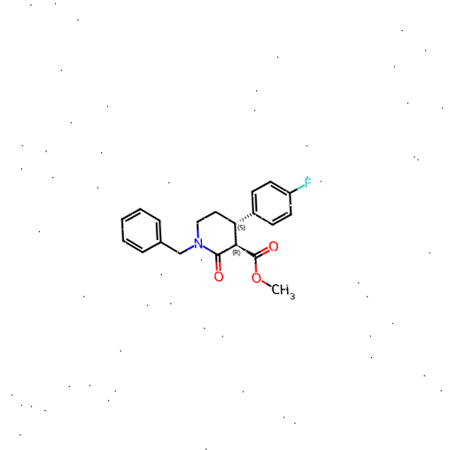 COC(=O)[C@H]1C(=O)N(Cc2ccccc2)CC[C@@H]1c1ccc(F)cc1